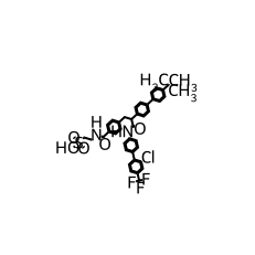 CC(C)(C)c1ccc(-c2ccc(C(Cc3ccc(C(=O)NCCS(=O)(=O)O)cc3)C(=O)Nc3ccc(-c4ccc(C(F)(F)F)cc4Cl)cc3)cc2)cc1